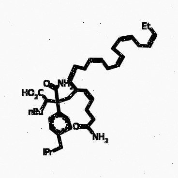 CC/C=C\C/C=C\C/C=C\C/C=C\C/C=C\C(/C=C\CCC(N)=O)CC(C(N)=O)(c1ccc(CC(C)C)cc1)C(CCCC)C(=O)O